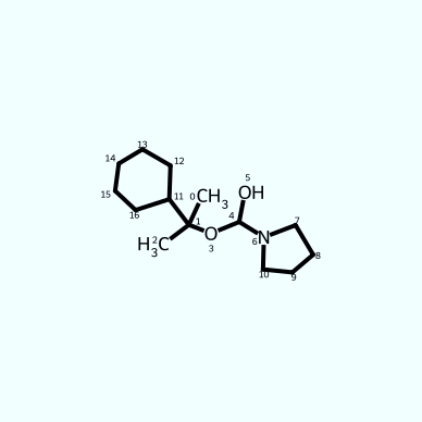 CC(C)(OC(O)N1CCCC1)C1CCCCC1